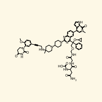 COc1ccc(C#CCNC2(C)CCN(C3CCN(c4nc(C(COCNC(=O)CNC(=O)C(CC(N)=O)NC(=O)O)(OC5CC5)c5ccccc5)c5cc(-c6cn(C)c(=O)c7[nH]ccc67)ccc5n4)CC3)CC2)cc1N1CCC(=O)NC1=O